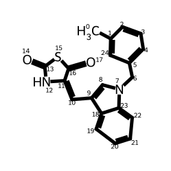 Cc1cccc(Cn2cc(C=C3NC(=O)SC3=O)c3ccccc32)c1